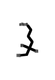 CCCCCCCCC(CC)(CC)CS